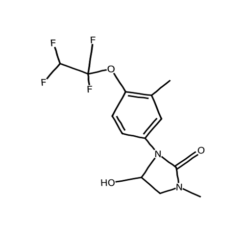 Cc1cc(N2C(=O)N(C)CC2O)ccc1OC(F)(F)C(F)F